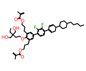 C=C(C)C(=O)OCCCc1cc(-c2ccc(C3=CCC(C4CCC(CCCCC)CC4)C=C3)c(F)c2F)cc(CCCOC(=O)C(=C)C)c1OCCC(CC)(CO)CO